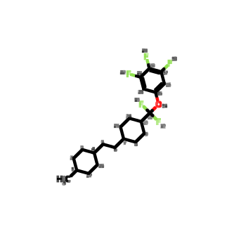 CC1CCC(CCC2CCC(C(F)(F)Oc3cc(F)c(F)c(F)c3)CC2)CC1